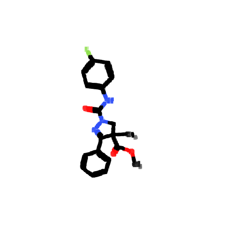 COC(=O)C1(C)CN(C(=O)Nc2ccc(F)cc2)N=C1c1ccccc1